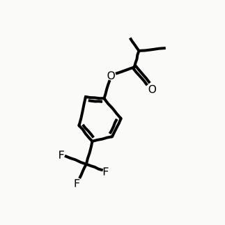 CC(C)C(=O)Oc1ccc(C(F)(F)F)cc1